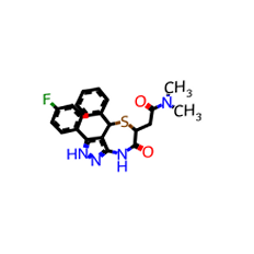 CN(C)C(=O)CC1SC(c2ccccc2)c2c(n[nH]c2-c2ccc(F)cc2)NC1=O